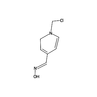 ON=CC1=CCN(CCl)C=C1